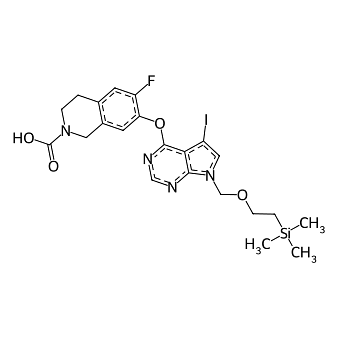 C[Si](C)(C)CCOCn1cc(I)c2c(Oc3cc4c(cc3F)CCN(C(=O)O)C4)ncnc21